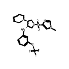 Cn1cnc(S(=O)(=O)N2C[C@H](Nc3cccc(OC(F)(F)F)c3)[C@@H](N3CCCCC3)C2)c1